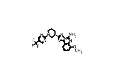 COc1cccc2c1nc(N)n1nc([C@@H]3CCCN(c4ncc(C(F)(F)F)cn4)C3)nc21